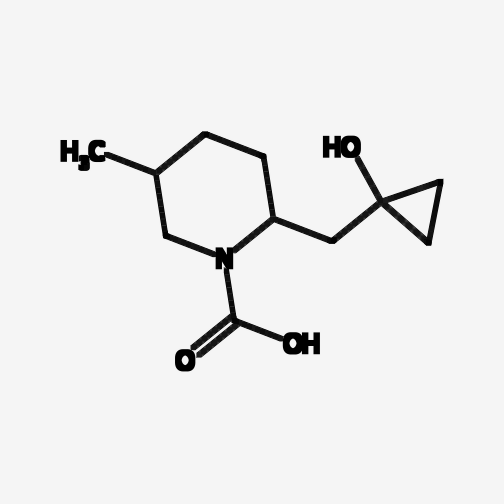 CC1CCC(CC2(O)CC2)N(C(=O)O)C1